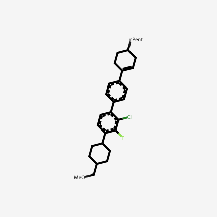 CCCCCC1CC=C(c2ccc(-c3ccc(C4CCC(COC)CC4)c(F)c3Cl)cc2)CC1